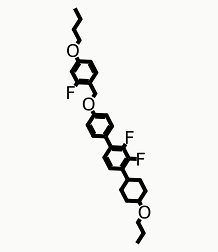 CCCCOc1ccc(COc2ccc(-c3ccc(C4CCC(OCCC)CC4)c(F)c3F)cc2)c(F)c1